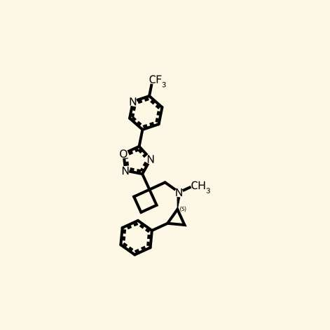 CN(CC1(c2noc(-c3ccc(C(F)(F)F)nc3)n2)CCC1)[C@H]1CC1c1ccccc1